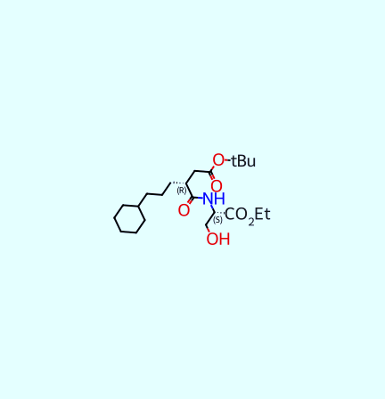 CCOC(=O)[C@H](CO)NC(=O)[C@H](CCCC1CCCCC1)CC(=O)OC(C)(C)C